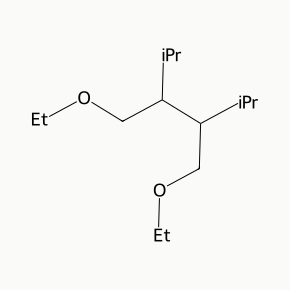 CCOCC(C(C)C)C(COCC)C(C)C